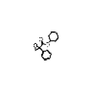 O=C(OC1CCCCC1)C1(c2ccccc2)CO1